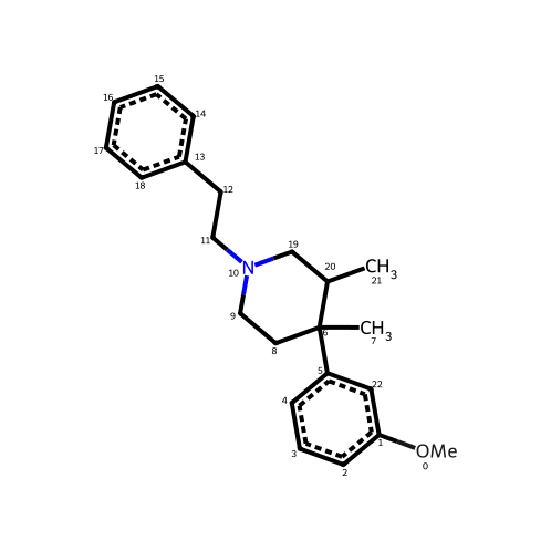 COc1cccc(C2(C)CCN(CCc3ccccc3)CC2C)c1